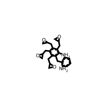 Nc1ccccc1Cc1c(N)c(CC2CO2)c(CC2CO2)c(CC2CO2)c1CC1CO1